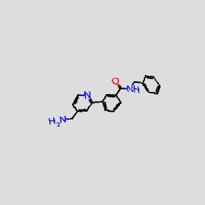 NCc1ccnc(-c2cccc(C(=O)NCc3ccccc3)c2)c1